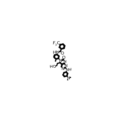 Cc1ccc(NC(=O)c2cccc(C(F)(F)F)c2)cc1-n1c(CCO)c2cnc(Nc3cccc(N(C)C)c3)nc2nc1=O